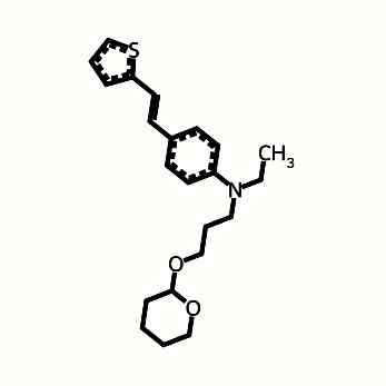 CCN(CCCOC1CCCCO1)c1ccc(C=Cc2cccs2)cc1